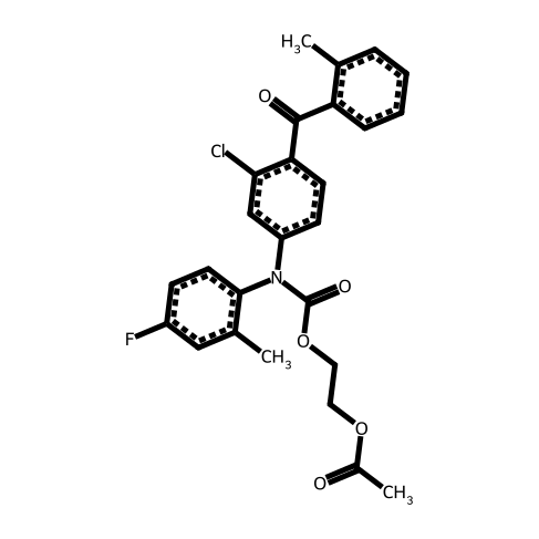 CC(=O)OCCOC(=O)N(c1ccc(C(=O)c2ccccc2C)c(Cl)c1)c1ccc(F)cc1C